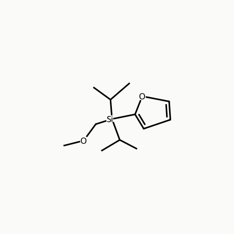 COC[Si](c1ccco1)(C(C)C)C(C)C